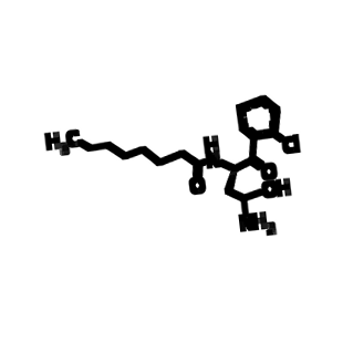 CCCCCCCC(=O)N[C@H](CC(N)O)C(=O)c1ccccc1Cl